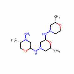 C[C@@H]1CN(NC2CN(N)[C@@H](C)CO2)CC(NN2CCO[C@@H](C)C2)O1